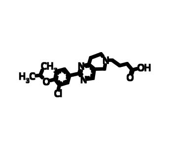 CC(C)Oc1ccc(-c2ncc3c(n2)CCN(CCCC(=O)O)C3)cc1Cl